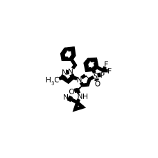 Cc1cc(N2C[C@H](S3(=O)=PC(F)(F)c4ccccc43)C[C@H]2C(=O)NC2(C#N)CC2)n(Cc2ccccc2)n1